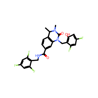 CC1c2ccc(C(=O)NCc3c(F)cc(F)cc3F)cc2N(Cc2c(O)cc(F)cc2F)C(=O)N1C